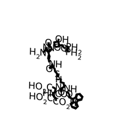 Nc1nc(=O)n(C2CC(O)C(COP(P)P)O2)cc1C#CCNC(=O)CCSSCCCC(NC(=O)OCC1c2ccccc2-c2ccccc21)C(=O)NC(CC(=O)O)C(=O)NC(CC(=O)O)C(=O)O